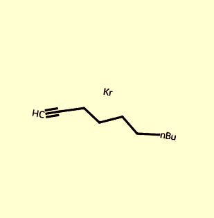 C#CCCCCCCCC.[Kr]